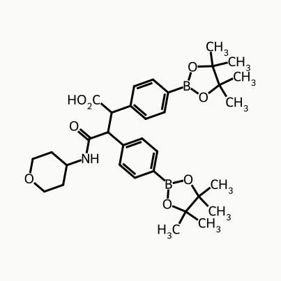 CC1(C)OB(c2ccc(C(C(=O)O)C(C(=O)NC3CCOCC3)c3ccc(B4OC(C)(C)C(C)(C)O4)cc3)cc2)OC1(C)C